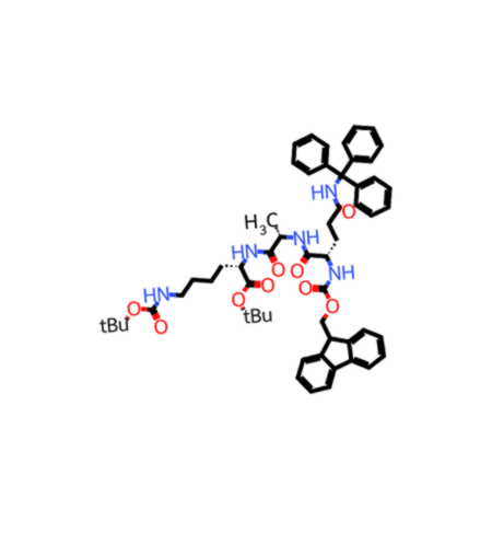 C[C@H](NC(=O)[C@H](CCC(=O)NC(c1ccccc1)(c1ccccc1)c1ccccc1)NC(=O)OCC1c2ccccc2-c2ccccc21)C(=O)N[C@@H](CCCCNC(=O)OC(C)(C)C)C(=O)OC(C)(C)C